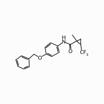 CC1(C(=O)Nc2ccc(OCc3ccccc3)cc2)CC1C(F)(F)F